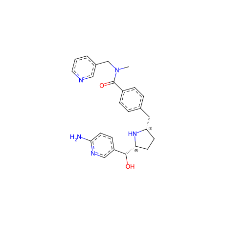 CN(Cc1cccnc1)C(=O)c1ccc(C[C@@H]2CC[C@H](C(O)c3ccc(N)nc3)N2)cc1